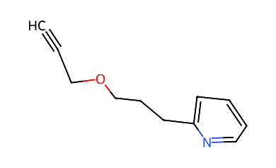 C#CCOCCCc1ccccn1